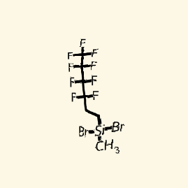 C[Si](Br)(Br)CCC(F)(F)C(F)(F)C(F)(F)C(F)(F)F